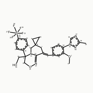 COc1cc(/C=C2\CC3(CC3)CN3C2=NOCC3(CO)c2ccc(S(F)(F)(F)(F)F)cc2)ccc1-n1cnc(C)n1